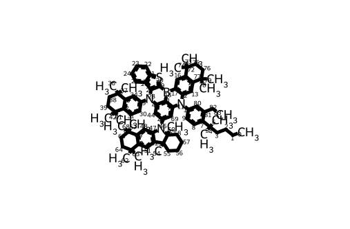 CCCCC(C)(C)c1ccc(N2c3cc4c(cc3B3c5sc6ccccc6c5N(c5ccc6c(c5)C(C)(C)CCC6(C)C)c5cc(N6c7cc8c(cc7C7(C)CCCCC67C)C(C)(C)CCC8(C)C)cc2c53)C(C)(C)CCC4(C)C)cc1CC